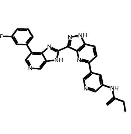 C=C(CC)Nc1cncc(-c2ccc3[nH]nc(-c4nc5c(-c6cccc(F)c6)cncc5[nH]4)c3n2)c1